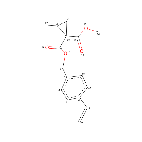 C=Cc1ccc(COC(=O)C2(C(=O)OC)CC2C)cc1